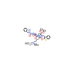 CCOC(OCC)[C@H](C)N(Cc1csc2ccccc12)C(=O)[C@H](CCCCN(C(=O)O)C(C)(C)C)NC(=O)CONC(=O)NCc1ccccc1